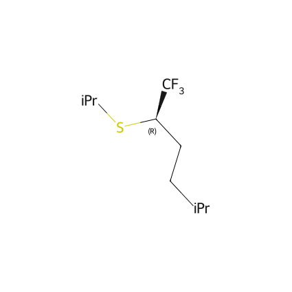 CC(C)CC[C@@H](SC(C)C)C(F)(F)F